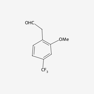 COc1cc(C(F)(F)F)ccc1CC=O